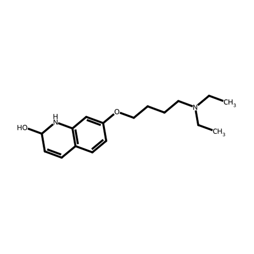 CCN(CC)CCCCOc1ccc2c(c1)NC(O)C=C2